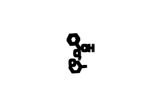 CC1CCCO[C@@H]1COC(O)c1ccccc1